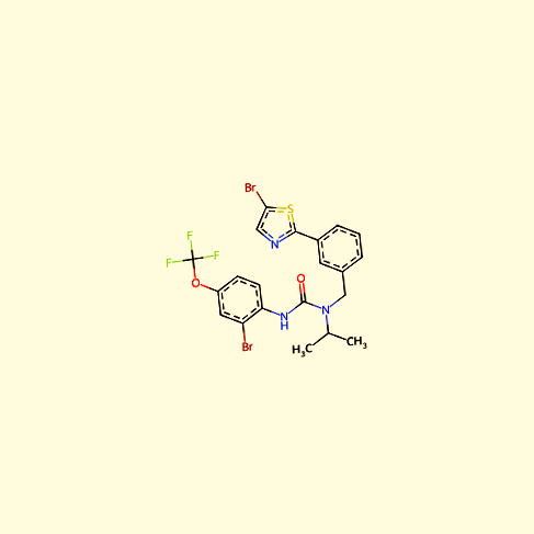 CC(C)N(Cc1cccc(-c2ncc(Br)s2)c1)C(=O)Nc1ccc(OC(F)(F)F)cc1Br